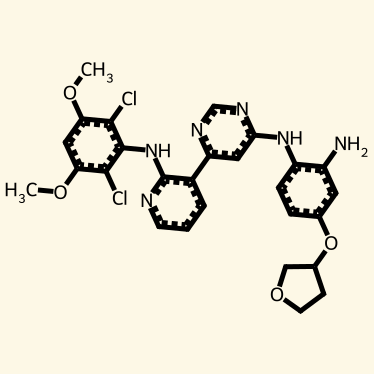 COc1cc(OC)c(Cl)c(Nc2ncccc2-c2cc(Nc3ccc(OC4CCOC4)cc3N)ncn2)c1Cl